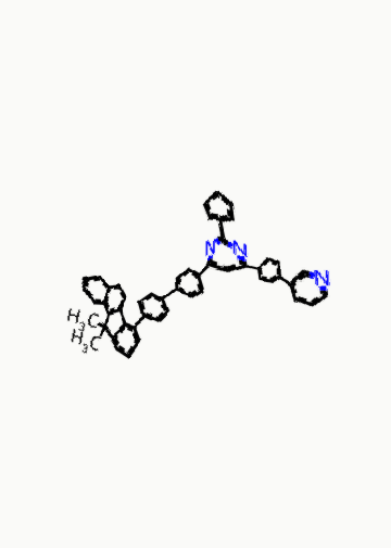 CC1(C)c2cccc(-c3ccc(-c4ccc(-c5cc(-c6ccc(-c7cccnc7)cc6)nc(-c6ccccc6)n5)cc4)cc3)c2-c2ccc3ccccc3c21